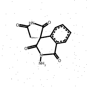 NN1C(=O)c2ccccc2[C@@]2(CC(=O)NC2=O)C1=O